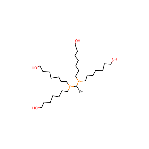 CCC(P(CCCCCCCO)CCCCCCCO)P(CCCCCCCO)CCCCCCCO